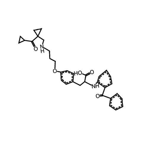 O=C(c1ccccc1)c1ccccc1NC(Cc1ccc(OCCCNCC2(C(=O)C3CC3)CC2)cc1)C(=O)O